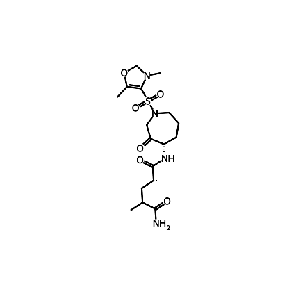 CC1=C(S(=O)(=O)N2CCC[C@H](NC(=O)[CH]CC(C)C(N)=O)C(=O)C2)N(C)CO1